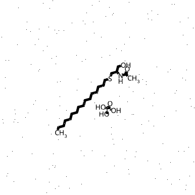 CCCCCCCCCCCCCCCCSCC(CO)NC(C)=O.O=P(O)(O)O